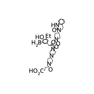 Bc1cc(C[C@@H](OC(=O)N2CCC(N3CCc4ccccc4NC3=O)CC2)C(=O)N2CCN(C3CCN(C(=O)CCC(=O)O)CC3)CC2)cc(CC)c1O